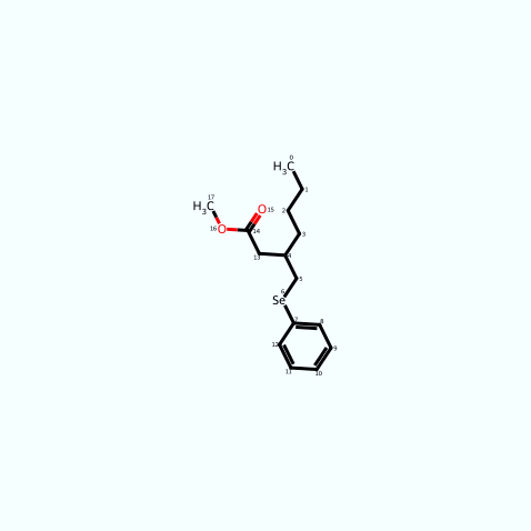 CCCCC(C[Se]c1ccccc1)CC(=O)OC